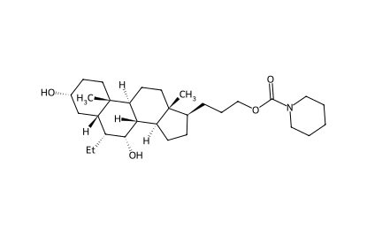 CC[C@H]1[C@@H](O)[C@@H]2[C@H](CC[C@]3(C)[C@@H](CCCOC(=O)N4CCCCC4)CC[C@@H]23)[C@@]2(C)CC[C@@H](O)C[C@@H]12